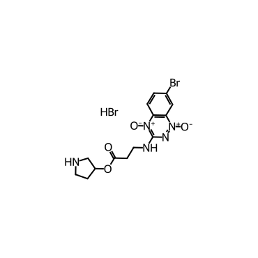 Br.O=C(CCNc1n[n+]([O-])c2cc(Br)ccc2[n+]1[O-])OC1CCNC1